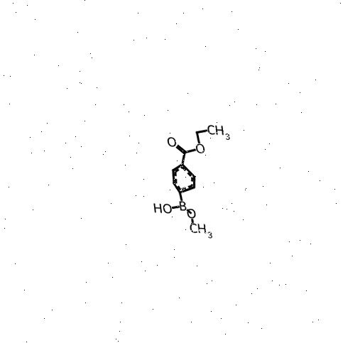 CCOC(=O)c1ccc(B(O)OC)cc1